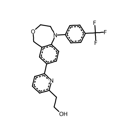 OCCc1cccc(-c2ccc3c(c2)COCCN3c2ccc(C(F)(F)F)cc2)n1